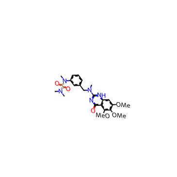 COc1cc2[nH]c(N(C)Cc3cccc(N(C)S(=O)(=O)N(C)C)c3)nc(=O)c2c(OC)c1OC